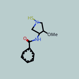 COC1CN(S)CC1NC(=O)c1ccccc1